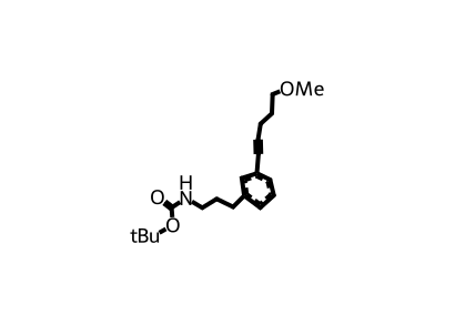 COCCCC#Cc1cccc(CCCNC(=O)OC(C)(C)C)c1